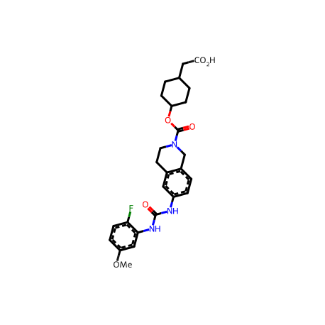 COc1ccc(F)c(NC(=O)Nc2ccc3c(c2)CCN(C(=O)OC2CCC(CC(=O)O)CC2)C3)c1